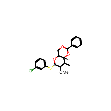 COC1C(C)[C@H]2OC(c3ccccc3)OCC2O[C@@H]1Sc1cccc(Cl)c1